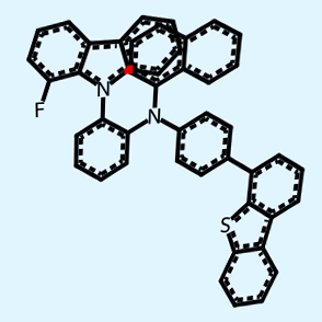 Fc1cccc2c3ccccc3n(-c3ccccc3N(c3ccc(-c4cccc5c4sc4ccccc45)cc3)c3cccc4ccccc34)c12